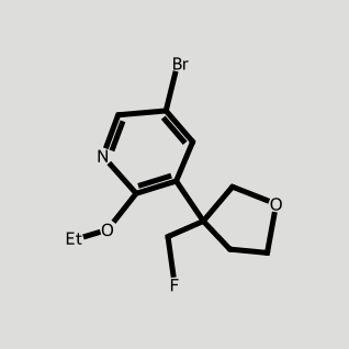 CCOc1ncc(Br)cc1C1(CF)CCOC1